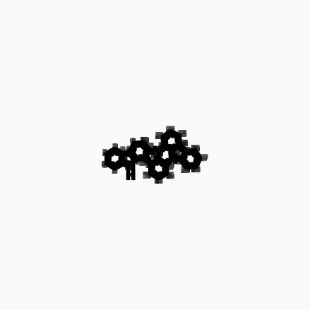 c1ccc2c(c1)[nH]c1c2ccc2c1c1cccc3c1n2c1cccc2c4ccccc4n3c21